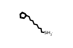 [SiH2]CCCCCCCCc1ccccc1